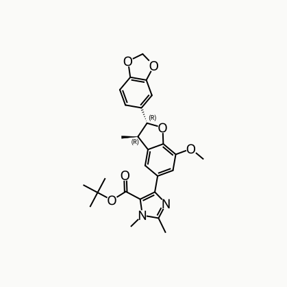 COc1cc(-c2nc(C)n(C)c2C(=O)OC(C)(C)C)cc2c1O[C@@H](c1ccc3c(c1)OCO3)[C@@H]2C